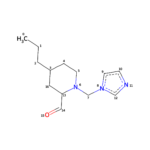 CCCC1CCN(Cn2ccnc2)C(C=O)C1